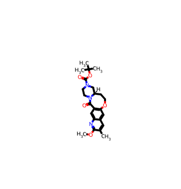 COc1nc2cc3c(cc2cc1C)OCC[C@@H]1CN(C(=O)OC(C)(C)C)CCN1C3=O